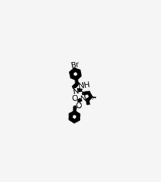 CC1[C@H](C)C[C@@H](c2ncc(-c3ccc(Br)cc3)[nH]2)N1C(=O)OCc1ccccc1